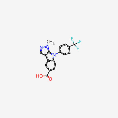 Cn1ncc2c3cc(C(=O)O)ccc3n(-c3ccc(C(F)(F)F)cc3)c21